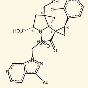 CC(=O)c1nn(CC(=O)N2[C@H](C(=O)O)C[C@@]3(CO)C[C@]23[C@@]2(C(N)=O)C[C@@H]2c2ccccc2Cl)c2cnccc12